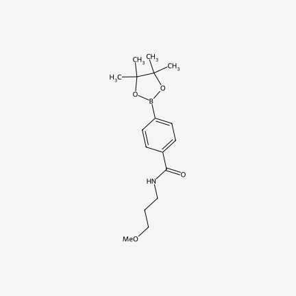 COCCCNC(=O)c1ccc(B2OC(C)(C)C(C)(C)O2)cc1